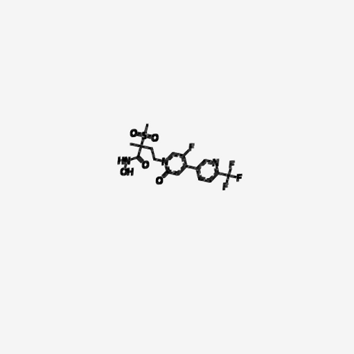 CC(CCn1cc(F)c(-c2ccc(C(F)(F)F)nc2)cc1=O)(C(=O)NO)S(C)(=O)=O